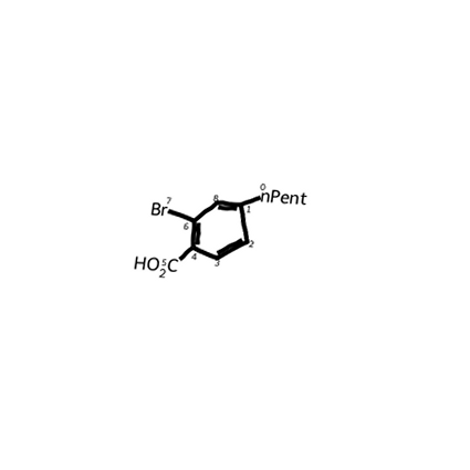 CCCCCc1ccc(C(=O)O)c(Br)c1